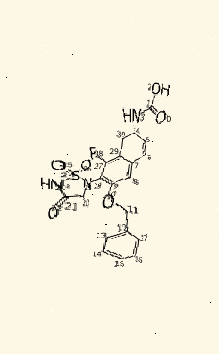 O=C(O)N[C@@H]1C=Cc2cc(OCc3ccccc3)c(N3CC(=O)NS3(=O)=O)c(F)c2C1